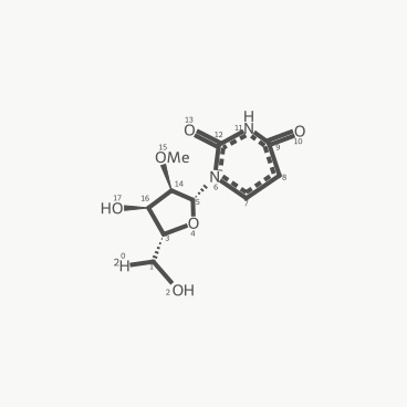 [2H]C(O)[C@H]1O[C@@H](n2ccc(=O)[nH]c2=O)[C@H](OC)[C@@H]1O